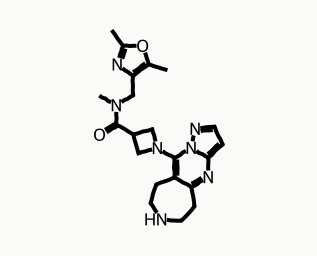 Cc1nc(CN(C)C(=O)C2CN(c3c4c(nc5ccnn35)CCNCC4)C2)c(C)o1